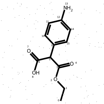 CCOC(=O)C(C(=O)O)c1ccc(N)cc1